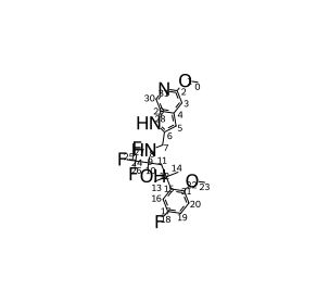 COc1cc2cc(CNC(O)(CC(C)(C)c3cc(F)ccc3OC)C(F)(F)F)[nH]c2cn1